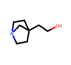 OCCC12CCN(CC1)C2